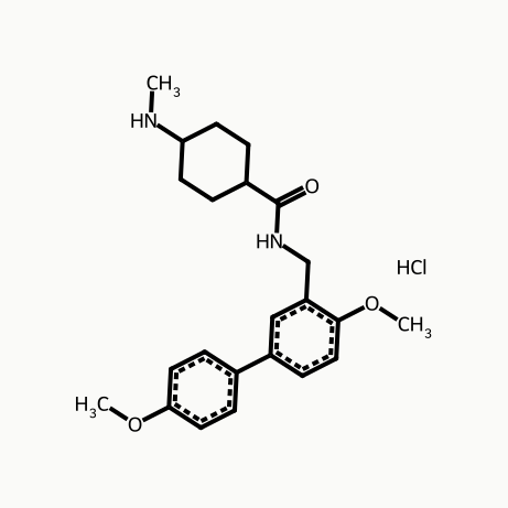 CNC1CCC(C(=O)NCc2cc(-c3ccc(OC)cc3)ccc2OC)CC1.Cl